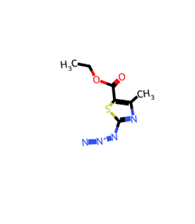 CCOC(=O)c1sc(N=[N+]=[N-])nc1C